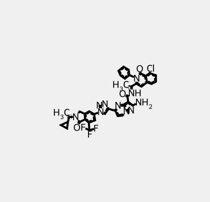 C[C@H](NC(=O)c1c(N)nn2ccc(-c3cn(-c4cc5c(c(C(F)(F)F)c4)C(=O)N([C@@H](C)C4CC4)C5)nn3)nc12)c1cc2cccc(Cl)c2c(=O)n1-c1ccccc1